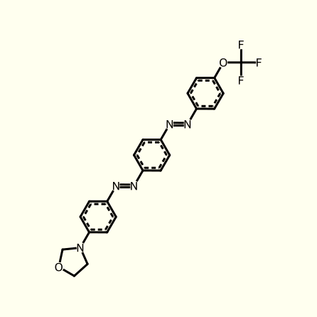 FC(F)(F)Oc1ccc(N=Nc2ccc(N=Nc3ccc(N4CCOC4)cc3)cc2)cc1